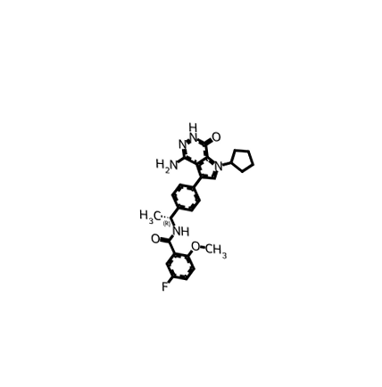 COc1ccc(F)cc1C(=O)N[C@H](C)c1ccc(-c2cn(C3CCCC3)c3c(=O)[nH]nc(N)c23)cc1